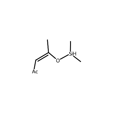 CC(=O)C=C(C)O[SiH](C)C